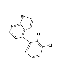 Clc1cccc(-c2ccnc3[nH]ccc23)c1Cl